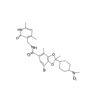 CCN(C)C1CCC(C2(C)Oc3c(Br)cc(C(=O)NCc4c(C)cc(C)[nH]c4=O)c(C)c3O2)CC1